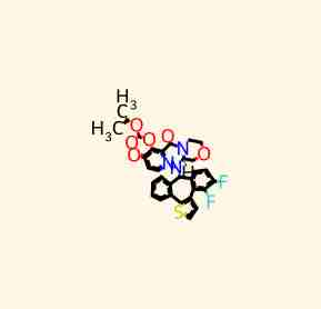 CC(C)OC(=O)Oc1c2n(ccc1=O)N([C@@H]1c3ccccc3-c3sccc3-c3c1ccc(F)c3F)[C@@H]1COCCN1C2=O